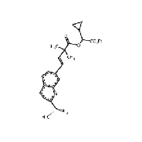 CCOC(=O)C(OC(=O)C(C)(C)/C=C/c1ccc2ccc([C@@H](C)N)nc2c1)C1CC1